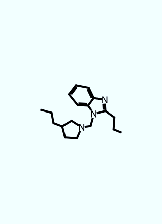 CCCc1nc2ccccc2n1CN1CCC(CCC)C1